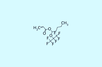 C=CC(=O)OC(CCCC)OC(F)(C(F)(F)F)C(F)(F)F